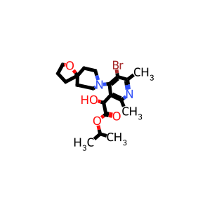 Cc1nc(C)c(C(O)C(=O)OC(C)C)c(N2CCC3(CCCO3)CC2)c1Br